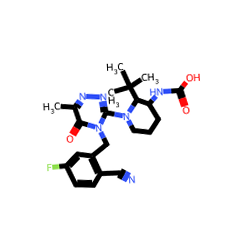 Cc1nnc(N2CCCC(NC(=O)O)C2C(C)(C)C)n(Cc2cc(F)ccc2C#N)c1=O